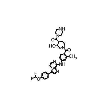 Cc1cc(Nc2nccn3c(-c4ccc(OC(F)F)cc4)cnc23)ccc1C(=O)N1CC[C@H](C(=O)N2CCNCC2)[C@@H](O)C1